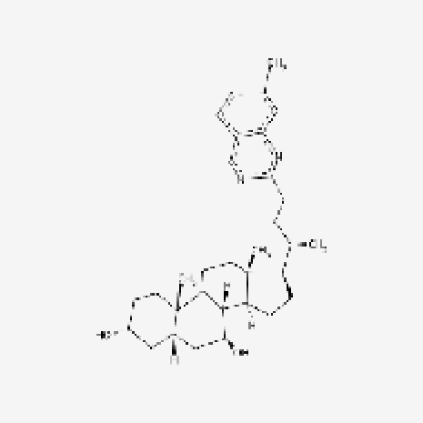 Cc1ccc2cnc(CC[C@@H](C)[C@H]3CC[C@H]4[C@H]5C(CC[C@]34C)[C@@]3(C)CC[C@@H](O)C[C@H]3C[C@@H]5O)nc2c1